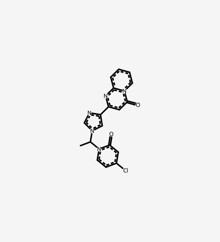 CC(n1cnc(-c2cc(=O)n3ccccc3n2)c1)n1ccc(Cl)cc1=O